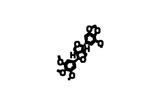 COc1cc([C@@H]2OC[C@@H]3[C@@H]2CO[C@@H]3c2cc(OC)c3c(c2)OCO3)cc(OC)c1OC